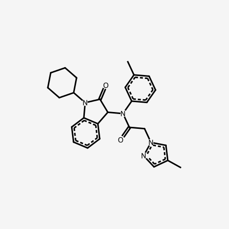 Cc1cccc(N(C(=O)Cn2cc(C)cn2)C2C(=O)N(C3CCCCC3)c3ccccc32)c1